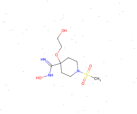 CS(=O)(=O)N1CCC(OCCO)(C(=N)NO)CC1